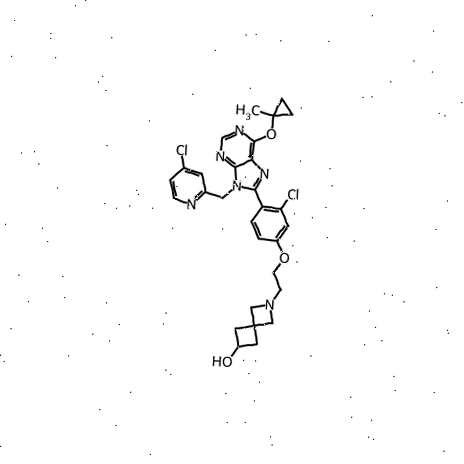 CC1(Oc2ncnc3c2nc(-c2ccc(OCCN4CC5(CC(O)C5)C4)cc2Cl)n3Cc2cc(Cl)ccn2)CC1